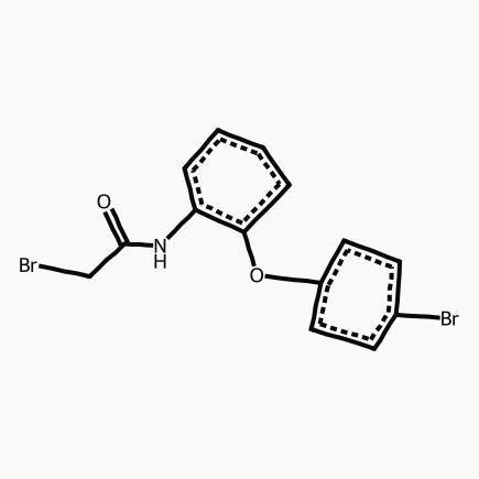 O=C(CBr)Nc1ccccc1Oc1ccc(Br)cc1